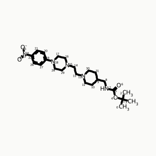 CC(C)(C)OC(=O)NCC1CCN(CCN2CCN(c3ccc([N+](=O)[O-])cc3)CC2)CC1